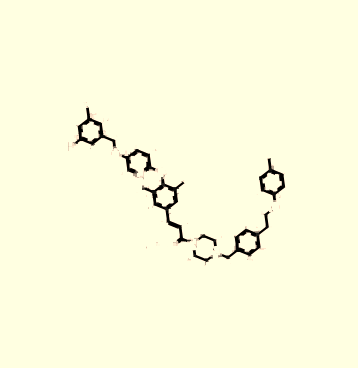 Cc1ccc(OCCc2ccc(CN3CCN(C(=O)C=Cc4cc(C)c(Oc5ccc(OCc6cc(C)cc(F)c6)cn5)c(Cl)c4)CC3)cc2)cc1.Cl